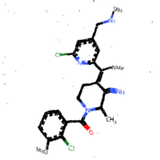 CN/C(=C1/CCN(C(=O)c2cccc(OC)c2Cl)C(C)C1=N)c1cc(CNSC)cc(Cl)n1